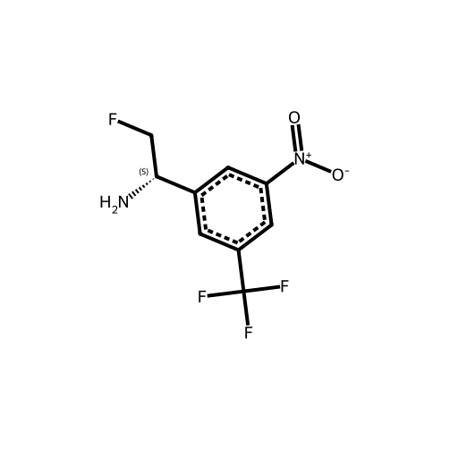 N[C@H](CF)c1cc([N+](=O)[O-])cc(C(F)(F)F)c1